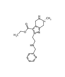 CCOC(=O)c1c2c(nn1CCNCc1ccccn1)C[C@@H](C)NC2